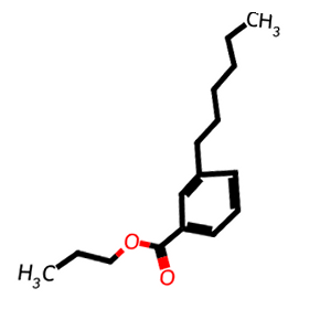 CCCCCCc1cccc(C(=O)OCCC)c1